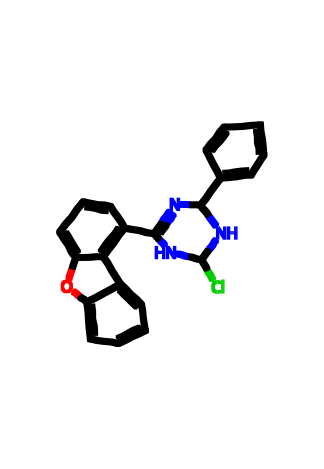 ClC1NC(c2cccc3oc4ccccc4c23)=NC(c2ccccc2)N1